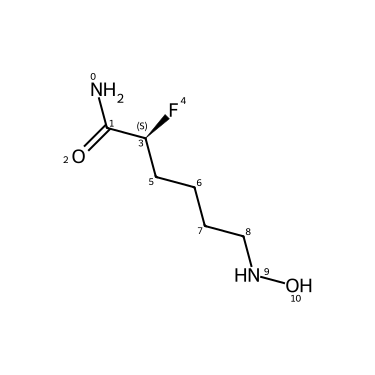 NC(=O)[C@@H](F)CCCCNO